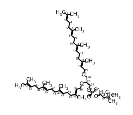 CC(C)=CCC/C(C)=C/CC/C(C)=C/CC/C(C)=C/COC[C@H](COP(=O)([O-])OCC[N+](C)(C)C)OC/C=C(\C)CC/C=C(\C)CC/C=C(\C)CCC=C(C)C